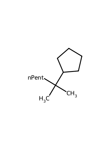 CCCCCC(C)(C)C1CCCC1